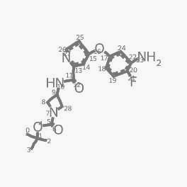 CC(C)(C)OC(=O)N1CC(NC(=O)c2cc(Oc3ccc(F)c(N)c3)ccn2)C1